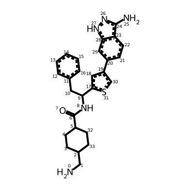 NCC1CCC(C(=O)NC(Cc2ccccc2)c2cc(-c3ccc4c(N)n[nH]c4c3)cs2)CC1